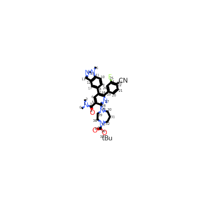 CN(C)C(=O)c1cc(-c2ccc3c(cnn3C)c2)c(-c2ccc(C#N)c(F)c2)nc1N1CCCN(C(=O)OC(C)(C)C)CC1